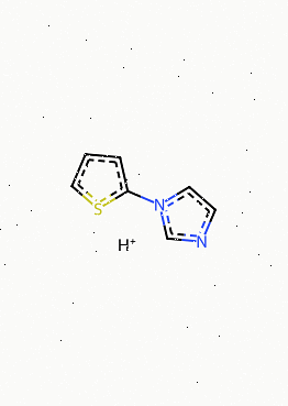 [H+].c1csc(-n2ccnc2)c1